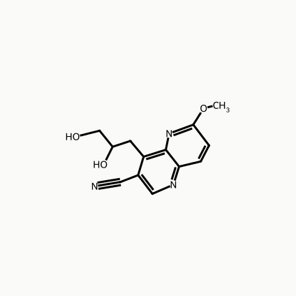 COc1ccc2ncc(C#N)c(CC(O)CO)c2n1